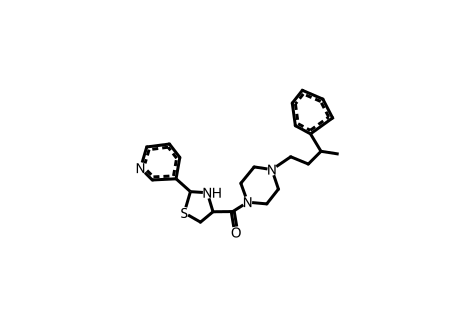 CC(CCN1CCN(C(=O)C2CSC(c3cccnc3)N2)CC1)c1ccccc1